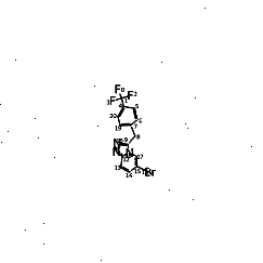 FC(F)(F)c1ccc(Cc2nnc3ccc(Br)cn23)cc1